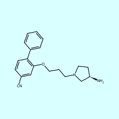 N#Cc1ccc(-c2ccccc2)c(OCCCN2CC[C@@H](N)C2)c1